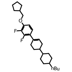 CCCCC1CCC(C2CC=C(c3ccc(OCC4CCCC4)c(F)c3F)CC2)CC1